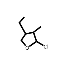 CCC1COC(Cl)C1C